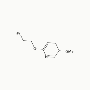 CSC1C=NC(OCCC(C)C)=CC1